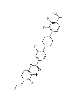 CCOc1ccc(OC(=O)c2ccc(C3CCC(c4ccc(C(C)O)c(F)c4F)CC3)c(F)c2)c(F)c1F